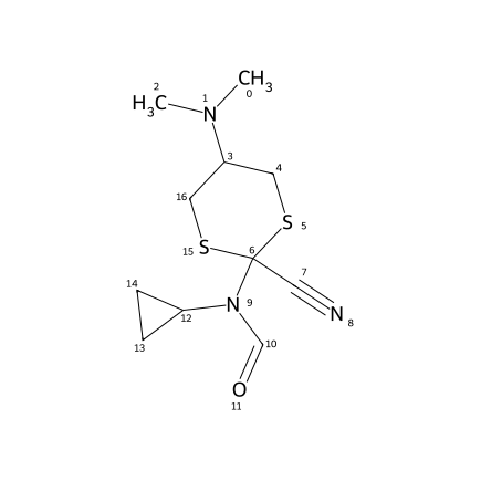 CN(C)C1CSC(C#N)(N(C=O)C2CC2)SC1